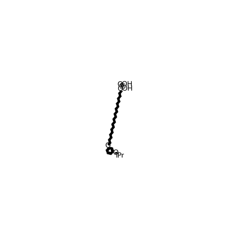 CC(C)Oc1cccc(OCCCCCCCCCCCCCCCCCCCCCOP(=O)(O)O)c1